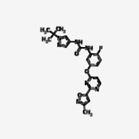 Cc1cc(-c2nccc(Oc3ccc(F)c(NC(=O)Nc4cnn(C(C)(C)C)c4)c3)n2)on1